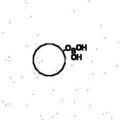 OB(O)OC1CCCCCCCCCCCCCCC1